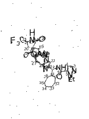 CCn1nccc1C(=O)N[C@H](c1cn2nc(CC3(C(=O)OC)C[C@@H](C(F)(F)F)NC3=O)ccc2n1)C1CCCCCC1